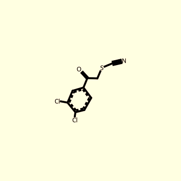 N#CSCC(=O)c1ccc(Cl)c(Cl)c1